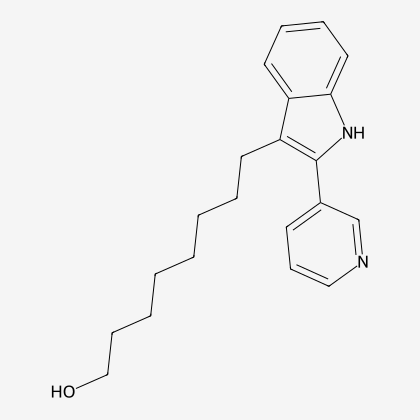 OCCCCCCCCc1c(-c2cccnc2)[nH]c2ccccc12